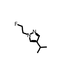 CC(C)c1cnn(CCF)c1